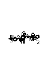 COc1cc2c(Oc3ccc4sc(C)nc4c3)ccnc2cc1OCC[C@H](N)C(=O)OC1CCCC1